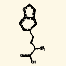 NC(CCc1ccc2occc2c1)C(=O)O